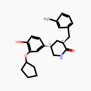 Cc1cccc(C[C@@H]2C[C@@H](c3ccc(O)c(OC4CCCC4)c3)CNC2=O)c1